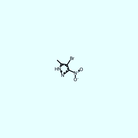 Cc1[nH]nc([N+](=O)[O-])c1Br